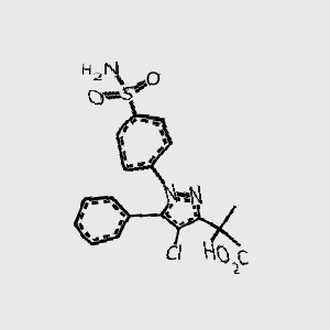 CC(C)(C(=O)O)c1nn(-c2ccc(S(N)(=O)=O)cc2)c(-c2ccccc2)c1Cl